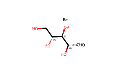 O=C[C@H](O)[C@H](O)[C@H](O)CO.[Ba]